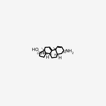 C[C@]12CC=C3[C@@H](CC[C@@H]4C[C@@H](N)C=C[C@]34C)[C@@H]1CC[C@@H]2O